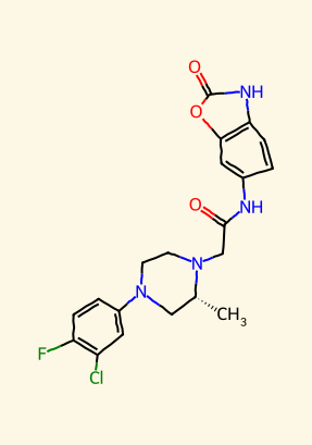 C[C@@H]1CN(c2ccc(F)c(Cl)c2)CCN1CC(=O)Nc1ccc2[nH]c(=O)oc2c1